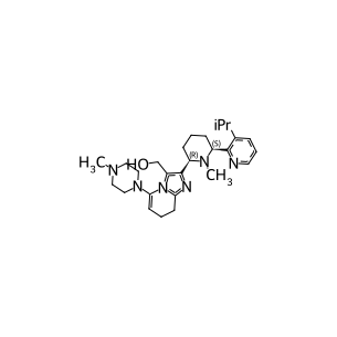 CC(C)c1cccnc1[C@@H]1CCC[C@H](c2nc3n(c2CO)C(N2CCN(C)CC2)=CCC3)N1C